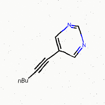 CCCCC#Cc1cncnc1